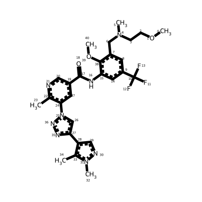 COCCN(C)Cc1cc(C(F)(F)F)cc(NC(=O)c2cnc(C)c(-n3cc(-c4cnn(C)c4C)nn3)c2)c1OC